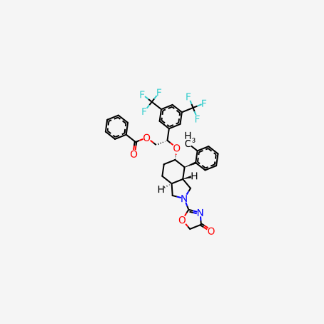 Cc1ccccc1[C@H]1[C@@H]2CN(C3=NC(=O)CO3)C[C@H]2CC[C@@H]1O[C@H](COC(=O)c1ccccc1)c1cc(C(F)(F)F)cc(C(F)(F)F)c1